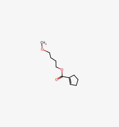 COCCCCOC(=O)C1=CCCC1